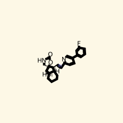 O=C1NC[C@]2(C[C@H]3CCCC[C@H]3[C@@H]2/C=C/c2ccc(-c3cccc(F)c3)cn2)O1